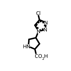 O=C(O)C1CC(n2cc(Cl)nn2)CN1